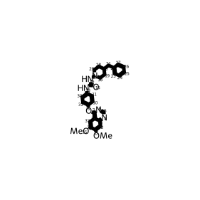 COc1cc2ncnc(Oc3ccc(NC(=O)NN4CCC(Cc5ccccc5)CC4)cc3)c2cc1OC